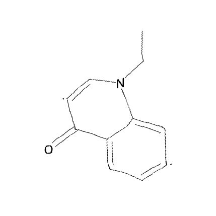 CCn1c[c]c(=O)c2cc[c]cc21